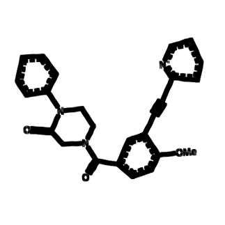 COc1ccc(C(=O)N2CCN(c3ccccc3)C(=O)C2)cc1C#Cc1ccccn1